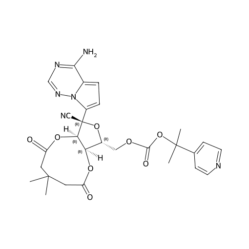 CC1(C)CC(=O)O[C@H]2[C@@H](OC(=O)C1)[C@](C#N)(c1ccc3c(N)ncnn13)O[C@@H]2COC(=O)OC(C)(C)c1ccncc1